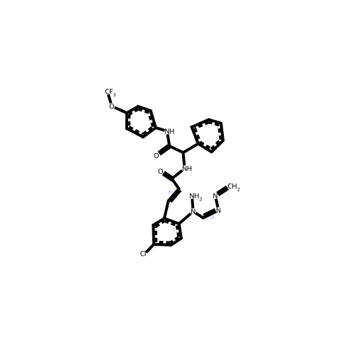 C=N/N=C\N(N)c1ccc(Cl)cc1/C=C/C(=O)NC(C(=O)Nc1ccc(OC(F)(F)F)cc1)c1ccccc1